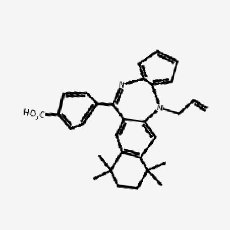 C=CCN1c2ccccc2N=C(c2ccc(C(=O)O)cc2)c2cc3c(cc21)C(C)(C)CCC3(C)C